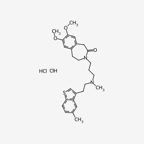 COc1cc2c(cc1OC)CC(=O)N(CCCN(C)CCc1csc3ccc(C)cc13)CC2.Cl.Cl